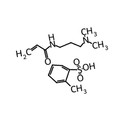 C=CC(=O)NCCCN(C)C.Cc1ccccc1S(=O)(=O)O